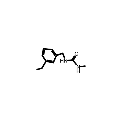 CCc1cccc(CNC(=O)NC)c1